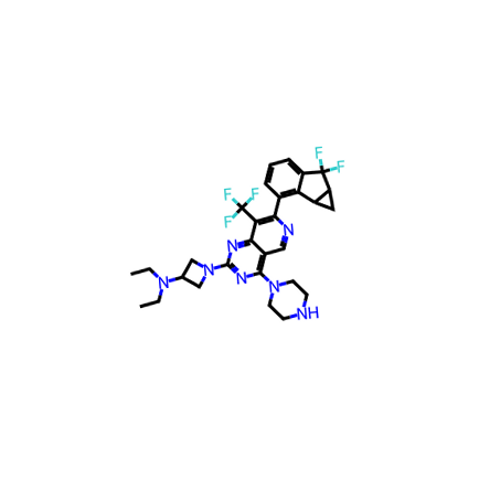 CCN(CC)C1CN(c2nc(N3CCNCC3)c3cnc(-c4cccc5c4C4CC4C5(F)F)c(C(F)(F)F)c3n2)C1